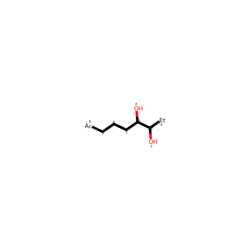 CCC(O)C(O)CCCC(C)=O